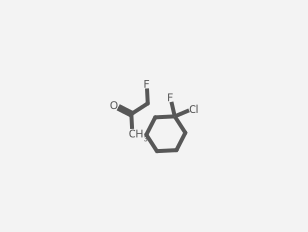 CC(=O)CF.FC1(Cl)CCCCC1